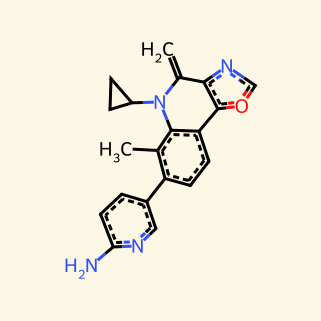 C=C1c2ncoc2-c2ccc(-c3ccc(N)nc3)c(C)c2N1C1CC1